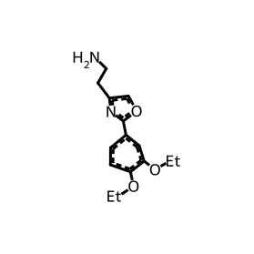 CCOc1ccc(-c2nc(CCN)co2)cc1OCC